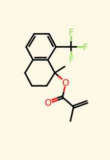 C=C(C)C(=O)OC1(C)CCCc2cccc(C(F)(F)F)c21